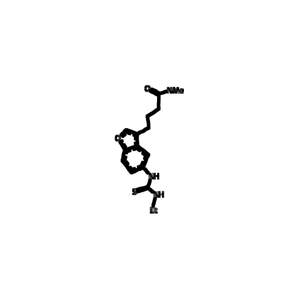 CCNC(=S)Nc1ccc2occ(CCCC(=O)NC)c2c1